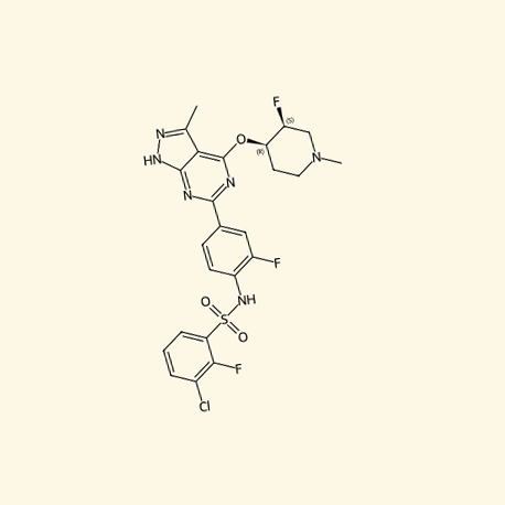 Cc1n[nH]c2nc(-c3ccc(NS(=O)(=O)c4cccc(Cl)c4F)c(F)c3)nc(O[C@@H]3CCN(C)C[C@@H]3F)c12